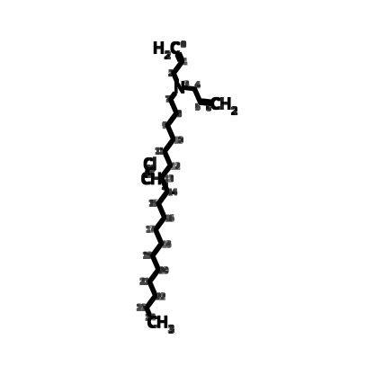 C=CCN(CC=C)CCCCCCCCCCCCCCCCCC.CCl